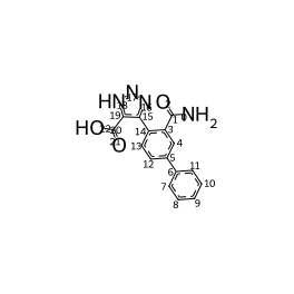 NC(=O)c1cc(-c2ccccc2)ccc1-c1nn[nH]c1C(=O)O